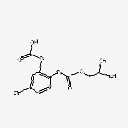 CC(C)COC(=O)Oc1ccc(Cl)cc1OC(=O)O